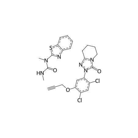 C#CCOc1cc(-n2nc3n(c2=O)CCCC3)c(Cl)cc1Cl.CNC(=O)N(C)c1nc2ccccc2s1